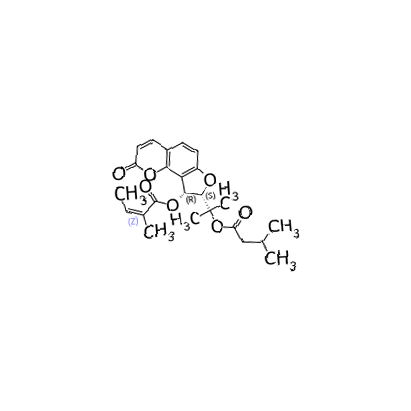 C/C=C(/C)C(=O)O[C@@H]1c2c(ccc3ccc(=O)oc23)O[C@@H]1C(C)(C)OC(=O)CC(C)C